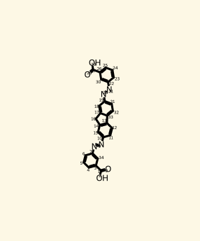 O=C(O)c1cccc(N=Nc2ccc3c(c2)Cc2cc(N=Nc4cccc(C(=O)O)c4)ccc2-3)c1